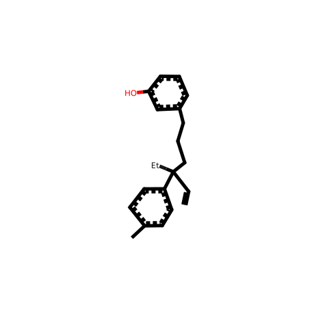 C=CC(CC)(CCCc1cccc(O)c1)c1ccc(C)cc1